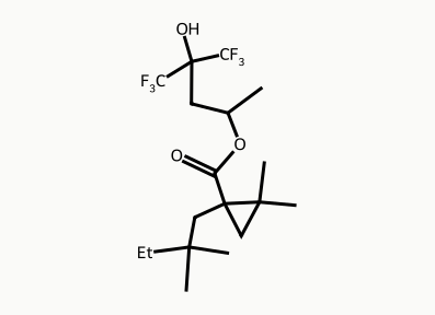 CCC(C)(C)CC1(C(=O)OC(C)CC(O)(C(F)(F)F)C(F)(F)F)CC1(C)C